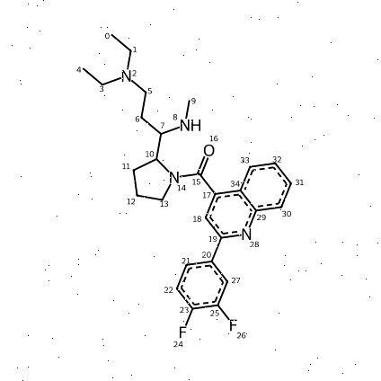 CCN(CC)CCC(NC)C1CCCN1C(=O)c1cc(-c2ccc(F)c(F)c2)nc2ccccc12